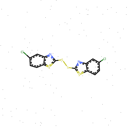 Clc1ccc2sc(SSc3nc4cc(Cl)ccc4s3)nc2c1